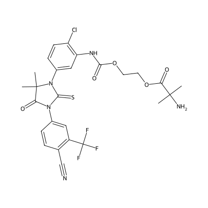 CC(C)(N)C(=O)OCCOC(=O)Nc1cc(N2C(=S)N(c3ccc(C#N)c(C(F)(F)F)c3)C(=O)C2(C)C)ccc1Cl